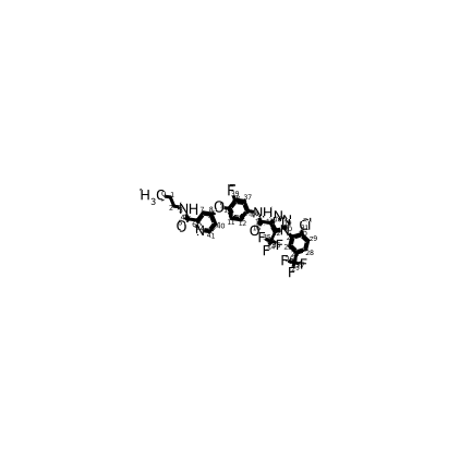 CCCNC(=O)c1cc(Oc2ccc(NC(=O)c3nnn(-c4cc(C(F)(F)F)ccc4Cl)c3C(F)(F)F)cc2F)ccn1